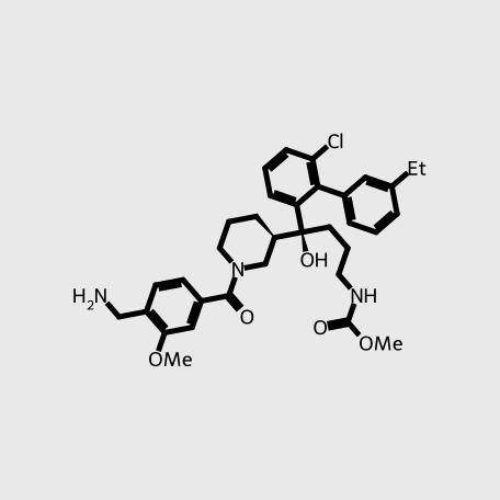 CCc1cccc(-c2c(Cl)cccc2[C@](O)(CCCNC(=O)OC)[C@@H]2CCCN(C(=O)c3ccc(CN)c(OC)c3)C2)c1